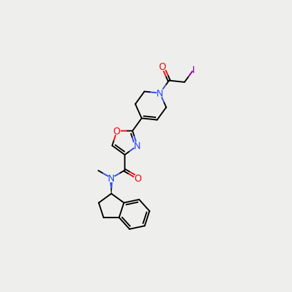 CN(C(=O)c1coc(C2=CCN(C(=O)CI)CC2)n1)[C@@H]1CCc2ccccc21